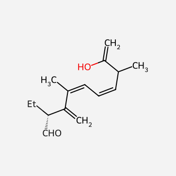 C=C(O)C(C)/C=C\C=C(\C)C(=C)[C@H](C=O)CC